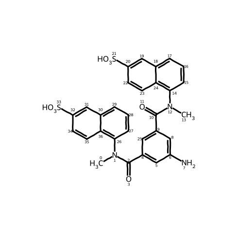 CN(C(=O)c1cc(N)cc(C(=O)N(C)c2cccc3cc(S(=O)(=O)O)ccc23)c1)c1cccc2cc(S(=O)(=O)O)ccc12